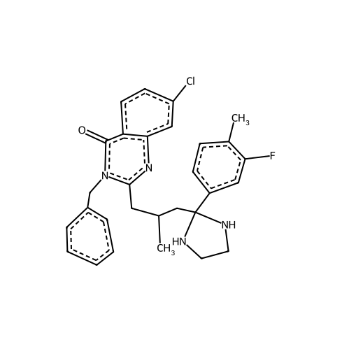 Cc1ccc(C2(CC(C)Cc3nc4cc(Cl)ccc4c(=O)n3Cc3ccccc3)NCCN2)cc1F